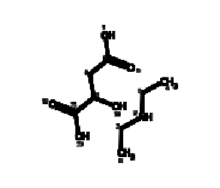 CCNCC.O=C(O)CC(O)C(=O)O